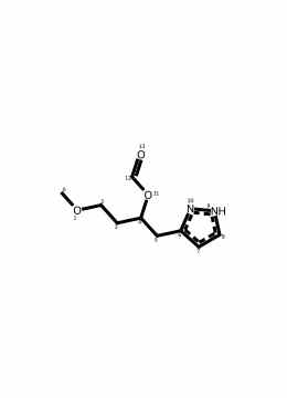 COCCC(Cc1cc[nH]n1)OC=O